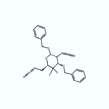 [N-]=[N+]=NC[C@H]1OC(OCc2ccccc2)C(N=[N+]=[N-])[C@@H](OCc2ccccc2)C1(F)F